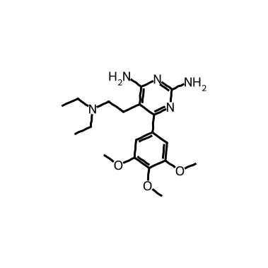 CCN(CC)CCc1c(N)nc(N)nc1-c1cc(OC)c(OC)c(OC)c1